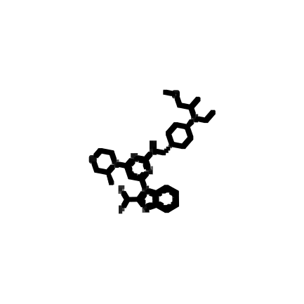 CCN(C(C)COC)[C@H]1CC[C@H](CNc2nc(N3CCOC[C@@H]3C)cc(-n3c(C(F)F)nc4ccccc43)n2)CC1